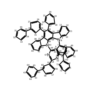 c1ccc(-c2ccc(-n3c4ccccc4c4c(-c5ccccc5)c(-c5cccc(-c6ccccc6)c5)c5c6ccccc6n(-c6nc(-c7ccccc7)nc(-c7cccc(-c8ccccc8)c7)n6)c5c43)cc2)cc1